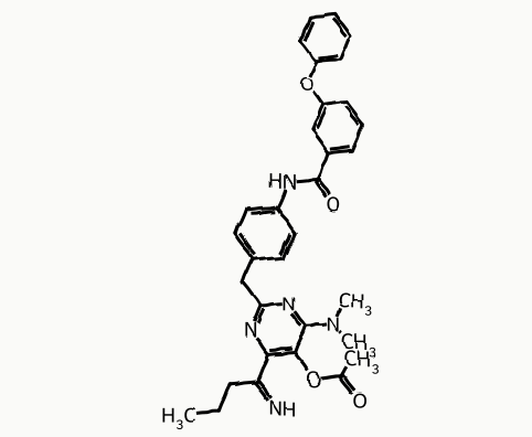 CCCC(=N)c1nc(Cc2ccc(NC(=O)c3cccc(Oc4ccccc4)c3)cc2)nc(N(C)C)c1OC(C)=O